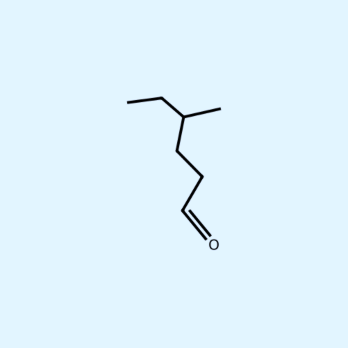 CCC(C)CCC=O